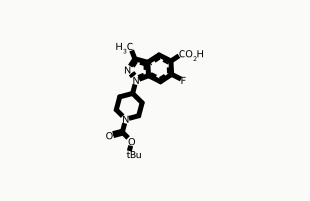 Cc1nn(C2CCN(C(=O)OC(C)(C)C)CC2)c2cc(F)c(C(=O)O)cc12